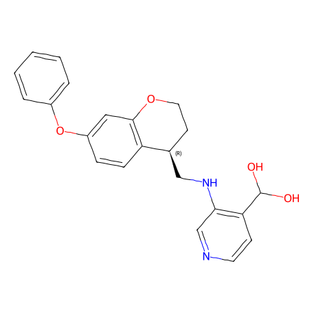 OC(O)c1ccncc1NC[C@@H]1CCOc2cc(Oc3ccccc3)ccc21